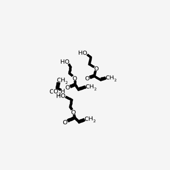 C=CC(=O)O.C=CC(=O)OCCO.C=CC(=O)OCCO.C=CC(=O)OCCO